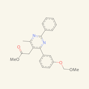 COCOc1cccc(-c2nc(-c3ccccc3)nc(C)c2CC(=O)OC)c1